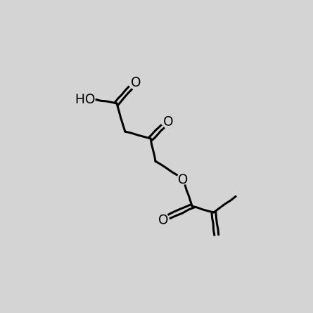 C=C(C)C(=O)OCC(=O)CC(=O)O